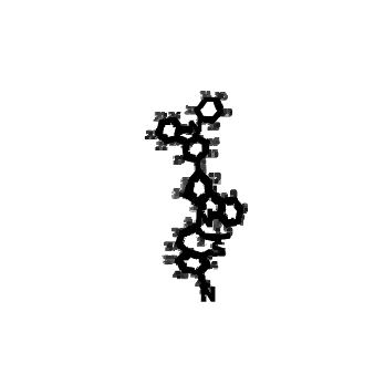 C/C1=C\C(n2c3ccccc3c3cc(-c4ccc5c(c4)c4ccccc4n5C4=CC=CCC4)ccc32)=C/Cc2ccc(C#N)cc2S1